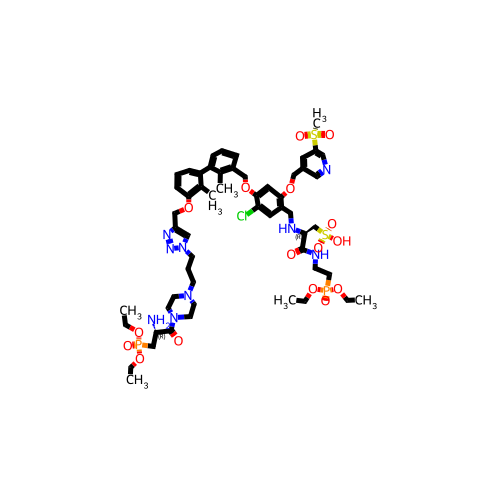 CCOP(=O)(CCNC(=O)[C@H](CS(=O)(=O)O)NCc1cc(Cl)c(OCc2cccc(-c3cccc(OCc4cn(CCCN5CCN(C(=O)[C@@H](N)CP(=O)(OCC)OCC)CC5)nn4)c3C)c2C)cc1OCc1cncc(S(C)(=O)=O)c1)OCC